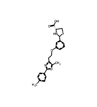 Cc1ccc(-c2nc(CCOc3cccc(C4N[C@H](C(=O)O)CS4)c3)c(C)o2)cc1